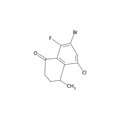 CC1CCC(=O)c2c(F)c(Br)cc(Cl)c21